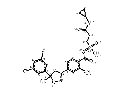 Cc1cc(C2=NOC(c3cc(Cl)cc(Cl)c3)(C(F)(F)F)C2)ccc1C(=O)N=S(C)(=O)CCC(=O)NC1CC1